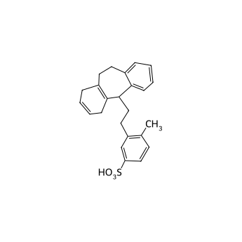 Cc1ccc(S(=O)(=O)O)cc1CCC1C2=C(CC=CC2)CCc2ccccc21